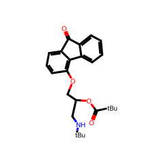 CC(C)(C)NCC(COc1cccc2c1-c1ccccc1C2=O)OC(=O)C(C)(C)C